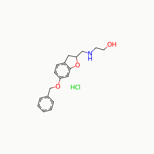 Cl.OCCNCC1Cc2ccc(OCc3ccccc3)cc2O1